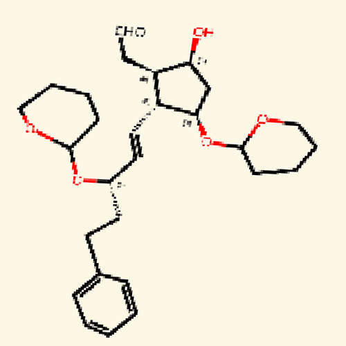 O=CC[C@@H]1[C@@H](C=C[C@H](CCc2ccccc2)OC2CCCCO2)[C@H](OC2CCCCO2)C[C@@H]1O